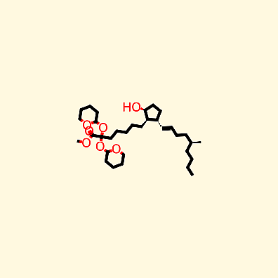 CCCC[C@H](C)CCC=C[C@H]1CC[C@H](O)[C@@H]1CCCCCC(OC1CCCCO1)(OC1CCCCO1)C(=O)OC